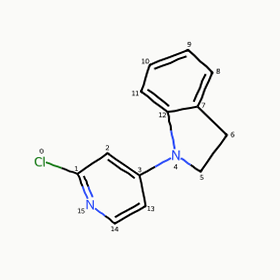 Clc1cc(N2CCc3ccccc32)ccn1